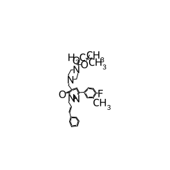 Cc1cc(-c2cc(CN3CCN(C(=O)OC(C)(C)C)CC3)c(=O)n(C/C=C/c3ccccc3)n2)ccc1F